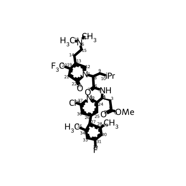 COC(=O)C[C@H](NC(=O)C(CC(C)C)n1cc(CCN(C)C)c(C(F)(F)F)cc1=O)c1cc(-c2c(C)cc(F)cc2C)cc(Cl)n1